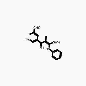 CCC/C=C(\C=C(/C)C=O)C(=N)/C(C)=C(/NC)Nc1ccccc1